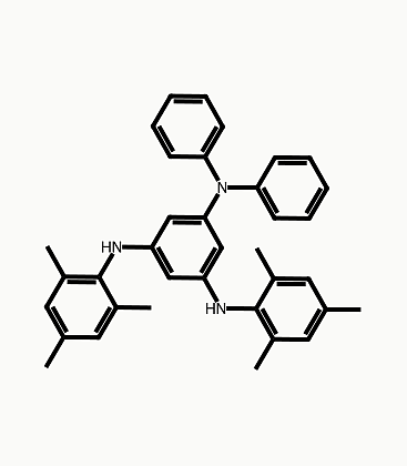 Cc1cc(C)c(Nc2cc(Nc3c(C)cc(C)cc3C)cc(N(c3ccccc3)c3ccccc3)c2)c(C)c1